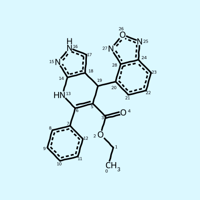 CCOC(=O)C1=C(c2ccccc2)Nc2n[nH]cc2C1c1cccc2nonc12